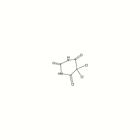 O=C1NC(=O)C(Cl)(Cl)C(=O)N1